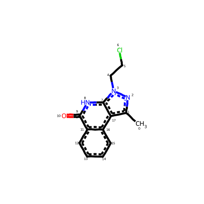 Cc1nn(CCCl)c2[nH]c(=O)c3ccccc3c12